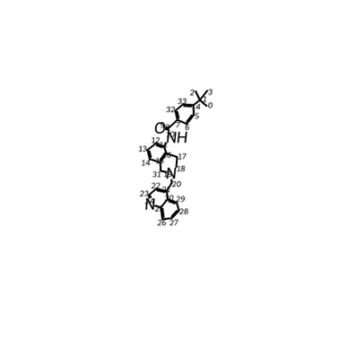 CC(C)(C)c1ccc(C(=O)Nc2cccc3c2CCN(Cc2ccnc4ccccc24)C3)cc1